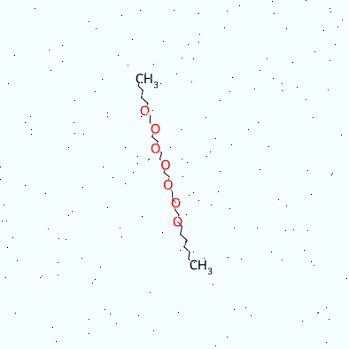 CCCCCCCOCCOCCOCCOCCOCCOCCOCCCCC